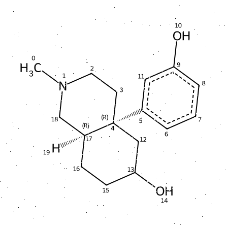 CN1CC[C@@]2(c3cccc(O)c3)CC(O)CC[C@H]2C1